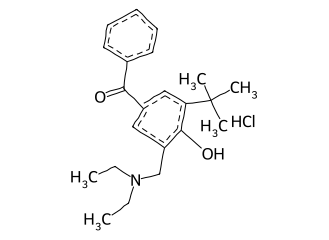 CCN(CC)Cc1cc(C(=O)c2ccccc2)cc(C(C)(C)C)c1O.Cl